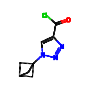 O=C(Cl)c1cn(C23CC(C2)C3)nn1